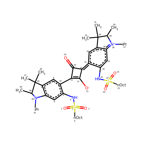 CCCCCCCCS(=O)(=O)Nc1cc2c(cc1C1=C([O-])/C(=c3/cc4c(cc3NS(=O)(=O)CCCCCCCC)=[N+](C(C)C)C(C)C4(C)C)C1=O)C(C)(C)C(C)N2C(C)C